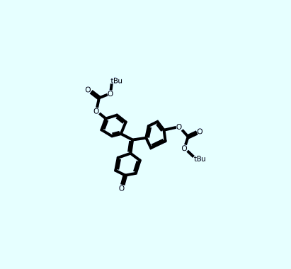 CC(C)(C)OC(=O)Oc1ccc(C(=C2C=CC(=O)C=C2)c2ccc(OC(=O)OC(C)(C)C)cc2)cc1